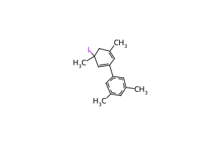 CC1=CC(c2cc(C)cc(C)c2)=CC(C)(I)C1